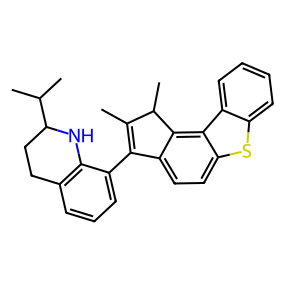 CC1=C(c2cccc3c2NC(C(C)C)CC3)c2ccc3sc4ccccc4c3c2C1C